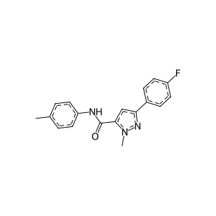 Cc1ccc(NC(=O)c2cc(-c3ccc(F)cc3)nn2C)cc1